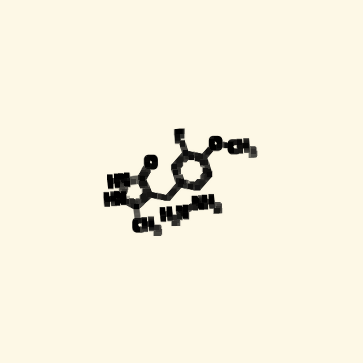 COc1ccc(Cc2c(C)[nH][nH]c2=O)cc1F.NN